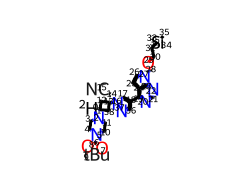 [2H][C@]1(N2CCN(C(=O)OC(C)(C)C)CC2)C[C@@](CC#N)(n2cc(-c3ncnc4c3ccn4COCC[Si](C)(C)C)cn2)C1